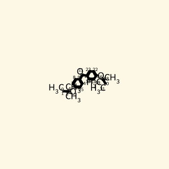 CCC(C)(C)Oc1ccc(C(=O)c2ccc(OC(C)(C)CC)cc2)cc1